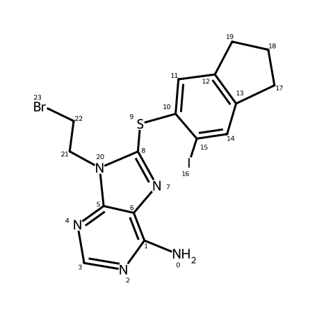 Nc1ncnc2c1nc(Sc1cc3c(cc1I)CCC3)n2CCBr